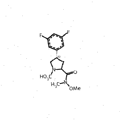 CON(C)C(=O)C1C[C@@H](c2cc(F)cc(F)c2)CN1C(=O)O